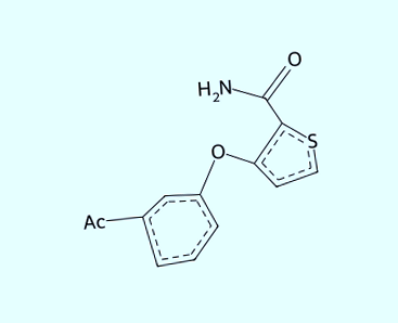 CC(=O)c1cccc(Oc2ccsc2C(N)=O)c1